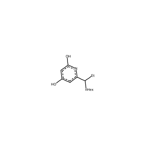 CCCCCCC(CC)c1cc(O)cc(O)n1